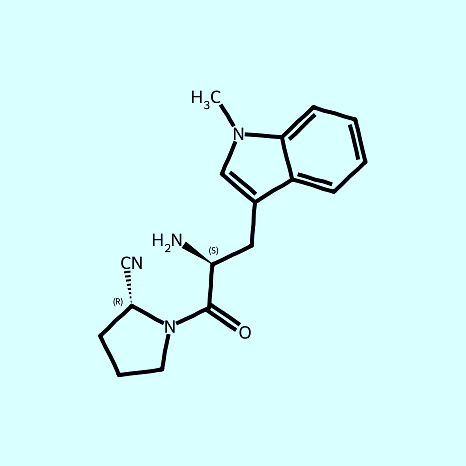 Cn1cc(C[C@H](N)C(=O)N2CCC[C@@H]2C#N)c2ccccc21